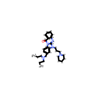 CC(C)CCN(CCC(C)C)Cc1ccc2c(c1)n(CCCN1CCCCC1)c1nc3ccccc3c(=O)n21